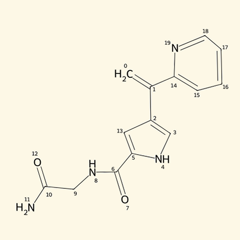 C=C(c1c[nH]c(C(=O)NCC(N)=O)c1)c1ccccn1